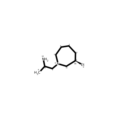 CC[C@@H]1CCCCN(CC(C)N)C1